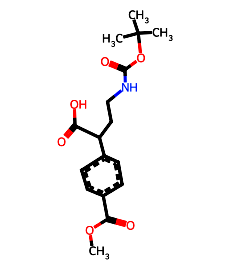 COC(=O)c1ccc(C(CCNC(=O)OC(C)(C)C)C(=O)O)cc1